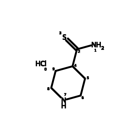 Cl.NC(=S)C1CCNCC1